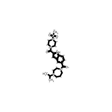 CC(C)N1CCCN(C(=O)c2ccc3[nH]c(C(=O)N4CCN(S(C)(=O)=O)CC4)cc3c2)CC1